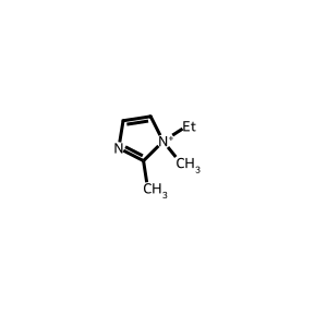 CC[N+]1(C)C=CN=C1C